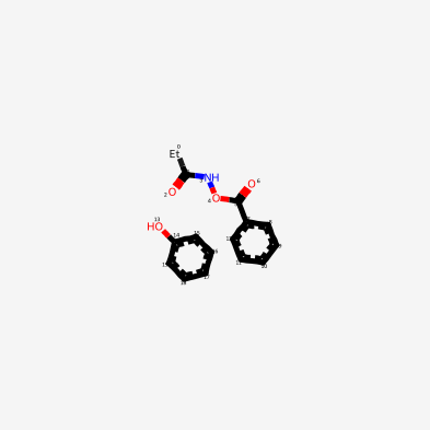 CCC(=O)NOC(=O)c1ccccc1.Oc1ccccc1